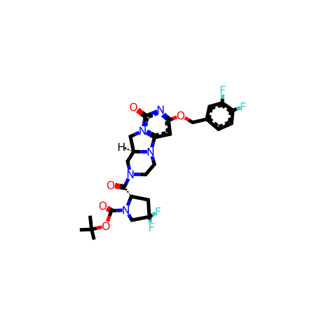 CC(C)(C)OC(=O)N1CC(F)(F)C[C@H]1C(=O)N1CCN2c3cc(OCc4ccc(F)c(F)c4)nc(=O)n3C[C@@H]2C1